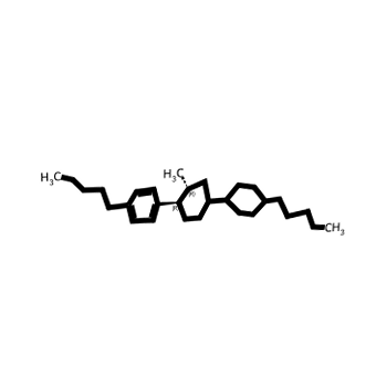 CCCCCc1ccc([C@@H]2CCC(C3CCC(CCCCC)CC3)C[C@H]2C)cc1